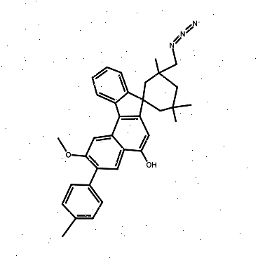 COc1cc2c3c(cc(O)c2cc1-c1ccc(C)cc1)C1(CC(C)(C)CC(C)(CN=[N+]=[N-])C1)c1ccccc1-3